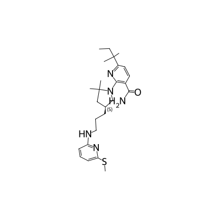 CCC(C)(C)c1ccc(C(N)=O)c(N2C[C@@H](CCCNc3cccc(SC)n3)CC2(C)C)n1